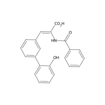 O=C(O)C(=Cc1cccc(-c2ccccc2O)c1)NC(=O)c1ccccc1